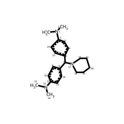 CN(C)c1ccc(C(c2ccc(N(C)C)cc2)N2CCCCC2)cc1